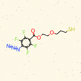 [N-]=[N+]=Nc1c(F)c(F)c(C(=O)OCCOCCCS)c(F)c1F